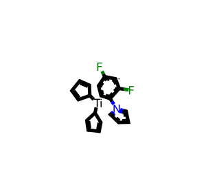 C1=C[CH]([Ti][CH]2C=CC=C2)C=C1.Fc1[c]c(F)c(-n2cccc2)cc1